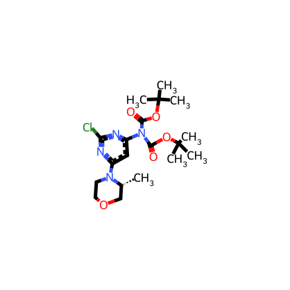 C[C@@H]1COCCN1c1cc(N(C(=O)OC(C)(C)C)C(=O)OC(C)(C)C)nc(Cl)n1